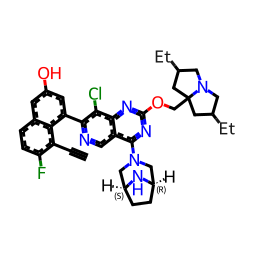 C#Cc1c(F)ccc2cc(O)cc(-c3ncc4c(N5C[C@H]6CC[C@@H](C5)N6)nc(OCC56CC(CC)CN5CC(CC)C6)nc4c3Cl)c12